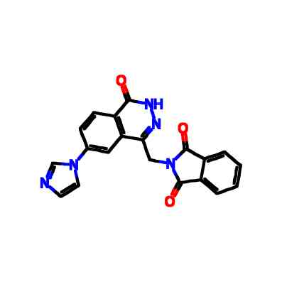 O=C1c2ccccc2C(=O)N1Cc1n[nH]c(=O)c2ccc(-n3ccnc3)cc12